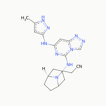 Cc1cc(Nc2cc3nncn3c(N[C@@H]3CC4CC[C@@H](C3)N4CCC#N)n2)n[nH]1